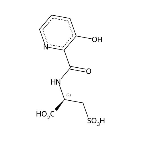 O=C(N[C@@H](CS(=O)(=O)O)C(=O)O)c1ncccc1O